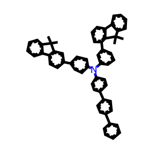 CC1(C)c2ccccc2-c2ccc(-c3ccc(N(c4ccc(-c5ccc(-c6ccccc6)cc5)cc4)c4cccc(-c5cccc6c5C(C)(C)c5ccccc5-6)c4)cc3)cc21